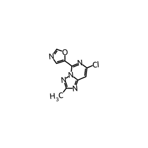 Cc1nc2cc(Cl)nc(-c3cnco3)n2n1